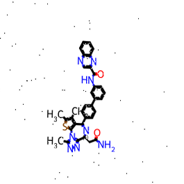 Cc1sc2c(c1C)C(c1ccc(-c3cccc(NC(=O)c4cnc5ccccc5n4)c3)cc1)=N[C@@H](CC(N)=O)c1nnc(C)n1-2